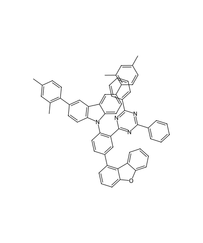 Cc1ccc(-c2ccc3c(c2)c2cc(-c4ccc(C)cc4C)ccc2n3-c2ccc(-c3cccc4oc5ccccc5c34)cc2-c2nc(-c3ccccc3)nc(-c3ccccc3)n2)c(C)c1